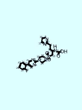 O=C(O)NC(CCc1ncccn1)CS(=O)(=O)N1CCN(c2ncc(-c3ccccc3F)cn2)CC1